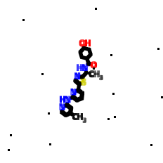 Cc1ccnc(Nc2cccc(-c3cnc([C@H](C)NC(=O)C4CCC(O)CC4)s3)n2)c1